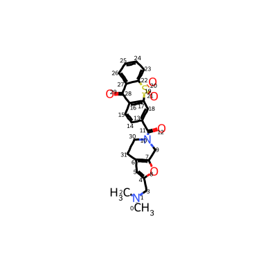 CN(C)Cc1cc2c(o1)CN(C(=O)c1ccc3c(c1)S(=O)(=O)c1ccccc1C3=O)CC2